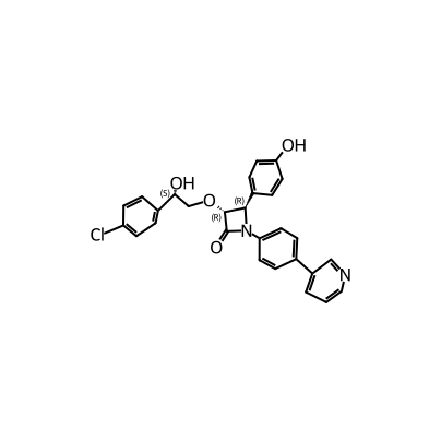 O=C1[C@H](OC[C@@H](O)c2ccc(Cl)cc2)[C@@H](c2ccc(O)cc2)N1c1ccc(-c2cccnc2)cc1